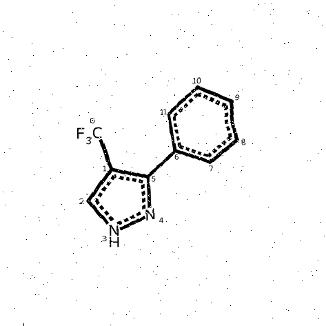 FC(F)(F)c1c[nH]nc1-c1ccccc1